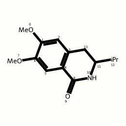 COc1cc2c(cc1OC)C(=O)NC(C(C)C)C2